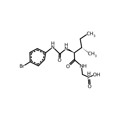 CC[C@H](C)[C@H](NC(=O)Nc1ccc(Br)cc1)C(=O)NC[PH](=O)O